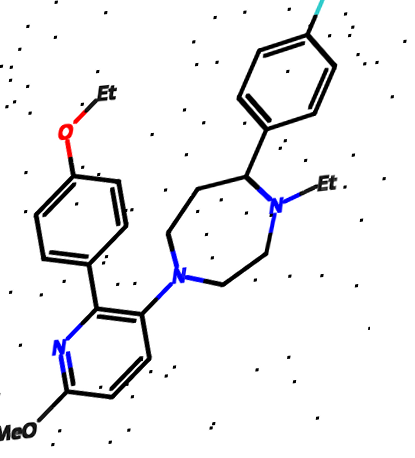 CCOc1ccc(-c2nc(OC)ccc2N2CCC(c3ccc(F)cc3)N(CC)CC2)cc1